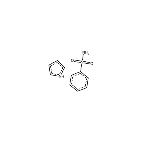 NS(=O)(=O)c1ccccc1.c1cc[nH]c1